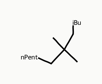 C[CH]C(C)CC(C)(C)CCCCCC